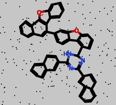 c1ccc2cc(C3=NC(c4cccc5oc6cc(-c7cc8ccccc8c8oc9ccccc9c78)ccc6c45)NC(c4ccc5ccccc5c4)=N3)ccc2c1